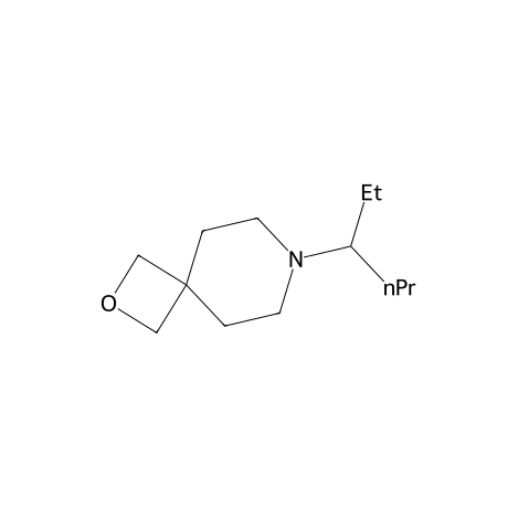 CCCC(CC)N1CCC2(CC1)COC2